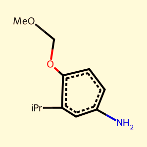 COCOc1ccc(N)cc1C(C)C